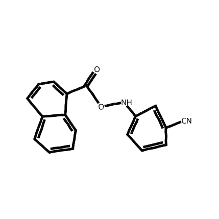 N#Cc1cccc(NOC(=O)c2cccc3ccccc23)c1